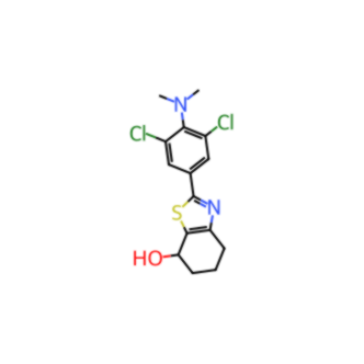 CN(C)c1c(Cl)cc(-c2nc3c(s2)C(O)CCC3)cc1Cl